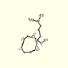 CCO[Si]1(CCCN(CC)CC)OCCSCCO1